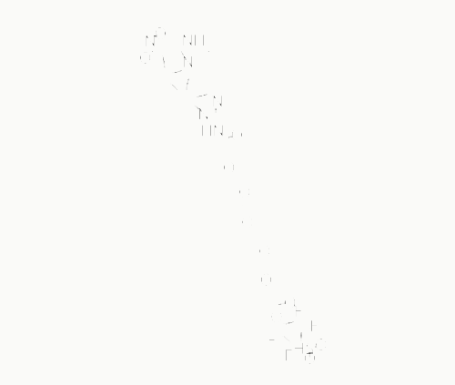 CCCN(OCC)C(=O)C1=Cc2ccc(-c3cnc(CNC(=O)CCOCCOCCOCCOCCOCCC(=O)Oc4c(F)c(F)c([SH](=O)=O)c(F)c4F)nc3)cc2N=C(N)C1